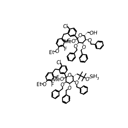 CCOc1ccc(Cc2cc([C@]3(OC)O[C@H](CC(C)(C)C(C)(C)O[SiH3])[C@@H](OCc4ccccc4)[C@H](OCc4ccccc4)[C@H]3OCc3ccccc3)ccc2Cl)c(F)c1F.CCOc1ccc(Cc2cc([C@]3(OC)O[C@H](CO)[C@@H](OCc4ccccc4)[C@H](OCc4ccccc4)[C@H]3OCc3ccccc3)ccc2Cl)c(F)c1F